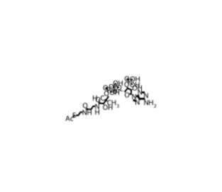 CC(=O)SCCNC(=O)CCNC(=O)[C@H](O)C(C)(C)COP(=O)(O)OP(=O)(O)OC[C@H]1O[C@@H](n2cnc3c(N)ncnc32)[C@@H](O)C1OP(=O)(O)O